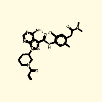 C=CC(=O)N1CCCC(n2nc(C(=O)Nc3cc(C)c(CC(=O)N(C)C)cc3Cl)c3c(N)ncnc32)C1